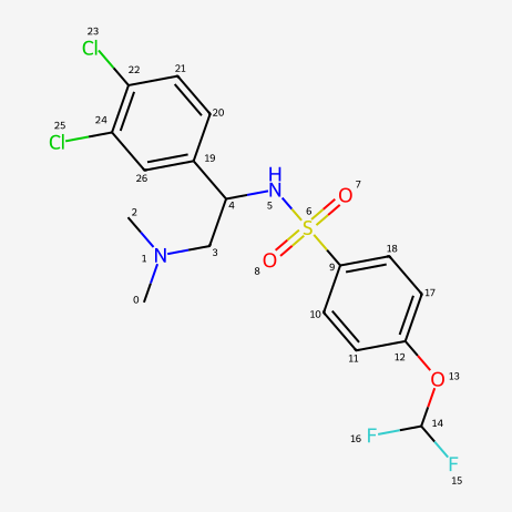 CN(C)CC(NS(=O)(=O)c1ccc(OC(F)F)cc1)c1ccc(Cl)c(Cl)c1